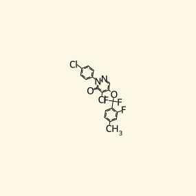 Cc1ccc(C(F)(F)Oc2cnn(-c3ccc(Cl)cc3)c(=O)c2Cl)c(F)c1